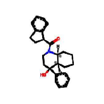 O=C(C1CCc2ccccc21)N1CCC(O)(c2ccccc2)[C@H]2CCCC[C@@H]21